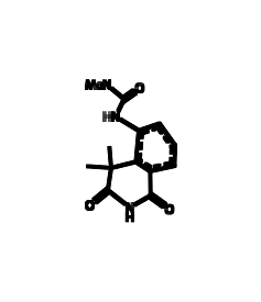 CNC(=O)Nc1cccc2c1C(C)(C)C(=O)NC2=O